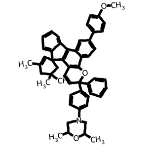 COc1ccc(-c2ccc3c4c(c5c(c3c2)-c2ccccc2C52C=C(C)CC(C)(C)C2)C=CC(c2ccccc2)(c2ccc(N3CC(C)OC(C)C3)cc2)O4)cc1